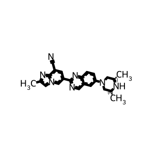 Cc1cn2cc(-c3ncc4cc(N5C[C@@H](C)N[C@@H](C)C5)ccc4n3)cc(C#N)c2n1